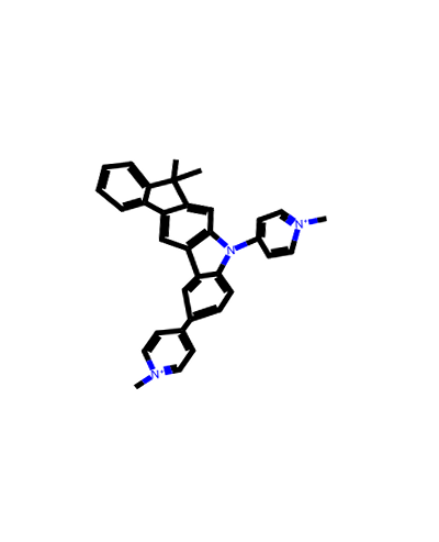 C[n+]1ccc(-c2ccc3c(c2)c2cc4c(cc2n3-c2cc[n+](C)cc2)C(C)(C)c2ccccc2-4)cc1